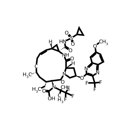 CC[C@@H]1C[C@H](C)CCC=C[C@@H]2C[C@@]2(C(=O)NS(=O)(=O)C2CC2)NC(=O)[C@@H]2C[C@@H](Oc3nc4cc(OC)ccc4nc3C(F)(F)F)CN2C(=O)[C@H]1N(C(=O)O)C(C)(C)C(F)(F)F